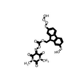 CN1C(=O)C(=NOC(=O)OCC2c3cc(SO)ccc3-c3ccc(SOOO)cc32)C(=O)N(C)C1=O